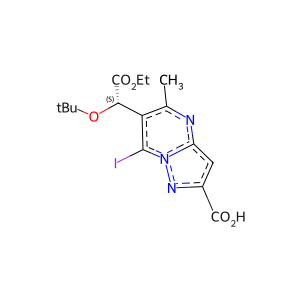 CCOC(=O)[C@@H](OC(C)(C)C)c1c(C)nc2cc(C(=O)O)nn2c1I